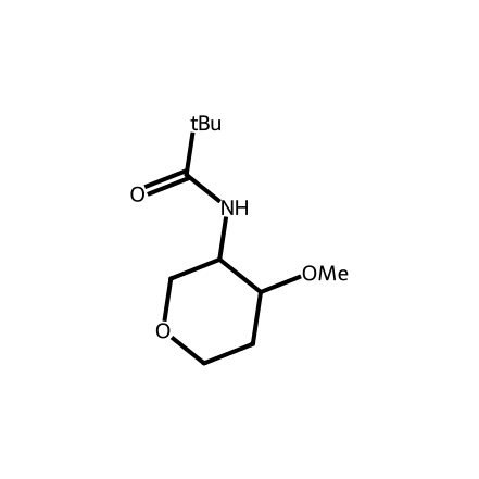 COC1CCOCC1NC(=O)C(C)(C)C